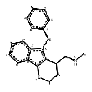 CNCC1CCSc2c1n(Cc1ccccc1)c1ccccc21